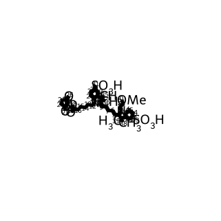 COCC[N+]1=C(/C=C/C=C/C=C2/N(CCCCCC(=O)ON3C(=O)CCC3=O)c3ccc(S(=O)(=O)O)cc3C2(C)C)C(C)(C)c2cc(S(=O)(=O)O)ccc21